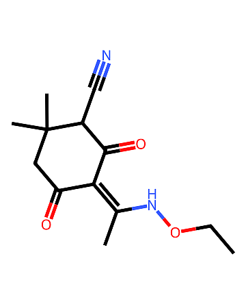 CCON/C(C)=C1/C(=O)CC(C)(C)C(C#N)C1=O